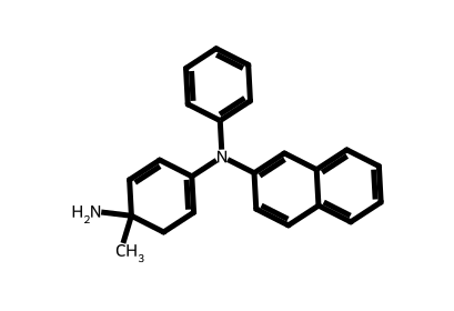 CC1(N)C=CC(N(c2ccccc2)c2ccc3ccccc3c2)=CC1